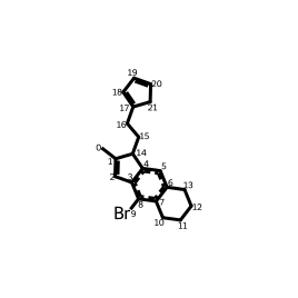 CC1=Cc2c(cc3c(c2Br)CCCC3)C1CCC1=CC=CC1